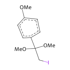 COc1ccc(C(CI)(OC)OC)cc1